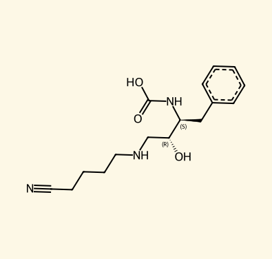 N#CCCCCNC[C@@H](O)[C@H](Cc1ccccc1)NC(=O)O